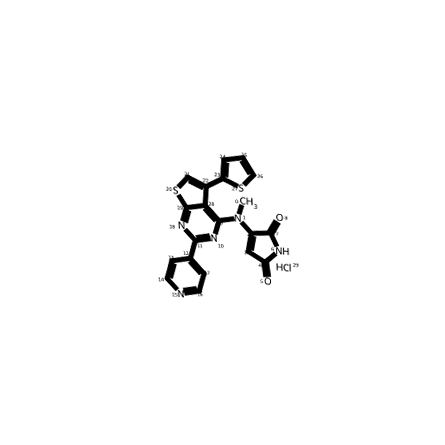 CN(C1=CC(=O)NC1=O)c1nc(-c2ccncc2)nc2scc(-c3cccs3)c12.Cl